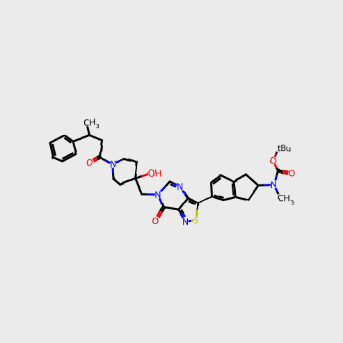 CC(CC(=O)N1CCC(O)(Cn2cnc3c(-c4ccc5c(c4)CC(N(C)C(=O)OC(C)(C)C)C5)snc3c2=O)CC1)c1ccccc1